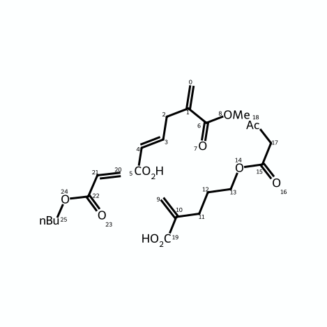 C=C(CC=CC(=O)O)C(=O)OC.C=C(CCCOC(=O)CC(C)=O)C(=O)O.C=CC(=O)OCCCC